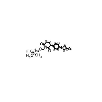 C[Si](C)(C)CCOCN1C(=O)CCC(c2ccc(N3CC(=O)C3)cc2)C1=O